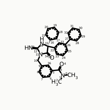 CN(C)C(=O)c1cccc(CN2C(=N)N[C@@](c3ccccc3)(c3cccc(-c4ccccc4)c3)C2=O)c1